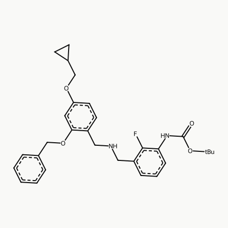 CC(C)(C)OC(=O)Nc1cccc(CNCc2ccc(OCC3CC3)cc2OCc2ccccc2)c1F